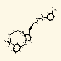 COc1cccc(S(=O)(=O)NCCC#Cc2cnc3nc2NCCCNS(=O)(=O)c2cccc(c2)N3)c1